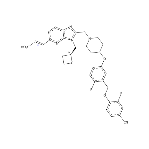 N#Cc1ccc(OCc2cc(OC3CCN(Cc4nc5ccc(/C=C/C(=O)O)nc5n4C[C@@H]4CCO4)CC3)ccc2F)c(F)c1